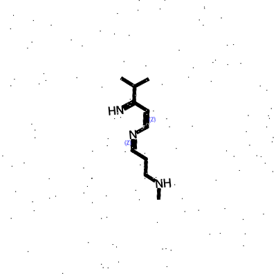 CNCC/C=N\C=C/C(=N)C(C)C